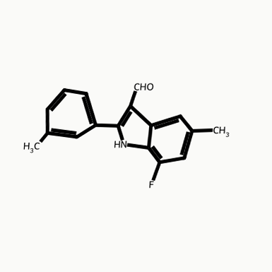 Cc1cccc(-c2[nH]c3c(F)cc(C)cc3c2C=O)c1